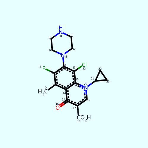 Cc1c(F)c(N2CCNCC2)c(Cl)c2c1c(=O)c(C(=O)O)cn2C1CC1